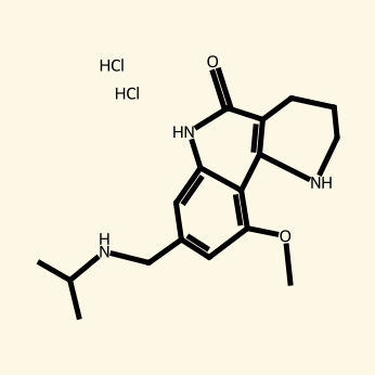 COc1cc(CNC(C)C)cc2[nH]c(=O)c3c(c12)NCCC3.Cl.Cl